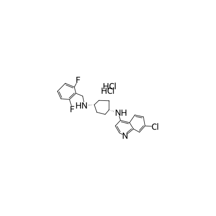 Cl.Cl.Fc1cccc(F)c1CN[C@H]1CC[C@@H](Nc2ccnc3cc(Cl)ccc23)CC1